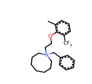 Cc1cccc(C(F)(F)F)c1OCC[N+]1(Cc2ccccc2)CCCCCCC1